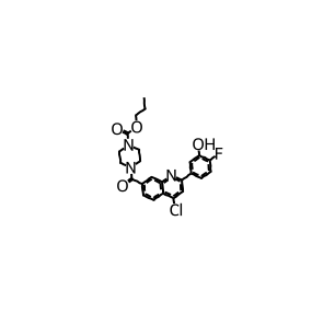 CCCOC(=O)N1CCN(C(=O)c2ccc3c(Cl)cc(-c4ccc(F)c(O)c4)nc3c2)CC1